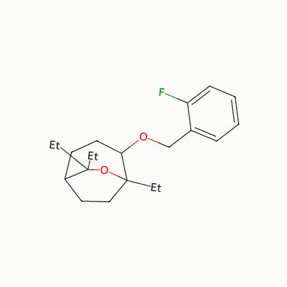 CCC1(CC)OC2(CC)CCC1CCC2OCc1ccccc1F